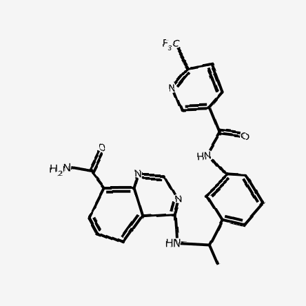 CC(Nc1ncnc2c(C(N)=O)cccc12)c1cccc(NC(=O)c2ccc(C(F)(F)F)nc2)c1